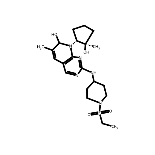 CC1=Cc2cnc(NC3CCN(S(=O)(=O)CC(F)(F)F)CC3)nc2N([C@@H]2CCC[C@@]2(C)O)C1O